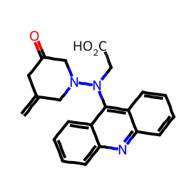 C=C1CC(=O)CN(N(CC(=O)O)c2c3ccccc3nc3ccccc23)C1